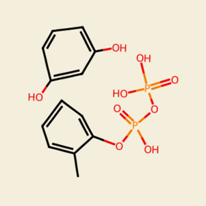 Cc1ccccc1OP(=O)(O)OP(=O)(O)O.Oc1cccc(O)c1